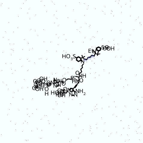 CC[N+]1=C(/C=C/C=C/C=C2/N(CCCCCC(=O)NC(CSSCCCOC(=O)Nc3ncnc4c3ncn4[C@H]3C[C@@H](O)[C@@H](COP(=O)(O)OP(=O)(O)OP(=O)(O)O)O3)C(=O)NCC#Cc3cn([C@H]4C[C@@H](O)[C@@H](COP(=O)(O)O)O4)c4ncnc(N)c34)c3ccc(S(=O)(=O)O)cc3C2(C)C)C(C)(C)c2cc(SOOO)ccc21